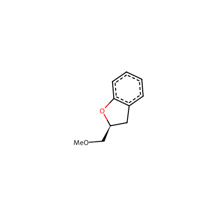 COC[C@@H]1Cc2ccccc2O1